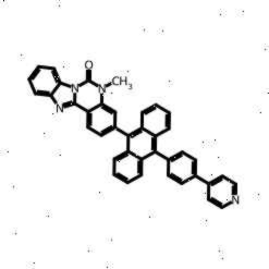 Cn1c(=O)n2c3ccccc3nc2c2ccc(-c3c4ccccc4c(-c4ccc(-c5ccncc5)cc4)c4ccccc34)cc21